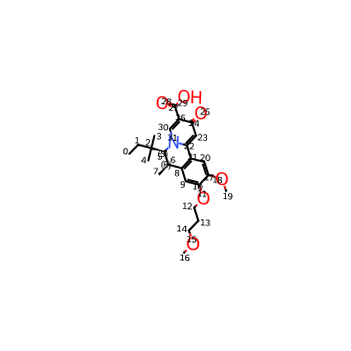 CCC(C)(C)[C@@H]1[C@H](C)c2cc(OCCCOC)c(OC)cc2-c2cc(=O)c(C(=O)O)cn21